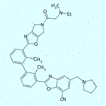 CCN(C)CC(=O)N1Cc2nc(-c3cccc(-c4cccc(-c5nc6cc(CN7CCCC7)cc(C#N)c6o5)c4C)c3C)oc2C1